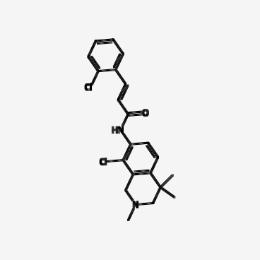 CN1Cc2c(ccc(NC(=O)/C=C/c3ccccc3Cl)c2Cl)C(C)(C)C1